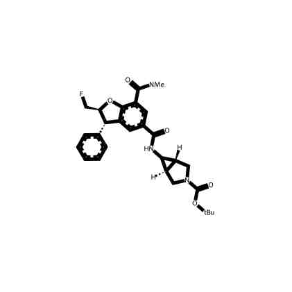 CNC(=O)c1cc(C(=O)NC2[C@@H]3CN(C(=O)OC(C)(C)C)C[C@@H]23)cc2c1O[C@H](CF)[C@H]2c1ccccc1